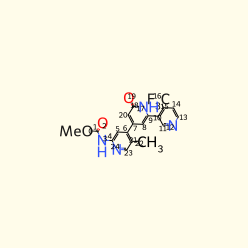 COC(=O)Nc1cc(-c2cc(-c3cnccc3C(F)(F)F)[nH]c(=O)c2)c(C)cn1